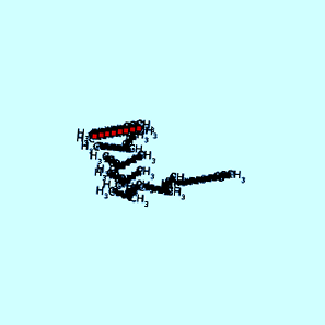 CCCCCC(CC)OOOCC.CCCCCCC(CC)OOOCC.CCCCCCCC(CC)OOOCC.CCCCCCCCC(CC)OOOCC.CCCCCCCCCC(CC)OOOCC.CCCCCCCCCCCCCOOOCC.CCCCCCCCCCCCOOOCC.CCCCCCCCCCCOOOCC